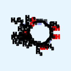 C=C/C=C\[C@H](C)[C@@H]1OC(=O)/C=C\C=C\[C@@H](C)[C@@H](O)C[C@H](O)/C=C\[C@H](C)[C@H](O)[C@@H](C)C[C@@H](C)CC[C@@H](O[Si](C)(C)C(C)(C)C)[C@@H]1C